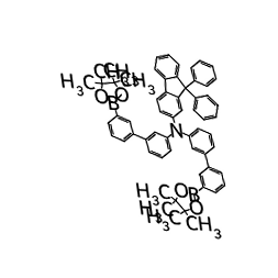 CC1(C)OB(c2cccc(-c3cccc(N(c4cccc(-c5cccc(B6OC(C)(C)C(C)(C)O6)c5)c4)c4ccc5c(c4)C(c4ccccc4)(c4ccccc4)c4ccccc4-5)c3)c2)OC1(C)C